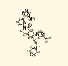 CC(C)n1cnnc1-c1cccc(N2CCc3cc(C#CCN4CCOCC4)c(-n4cnc(C5CC5)c4)cc3C2=O)n1